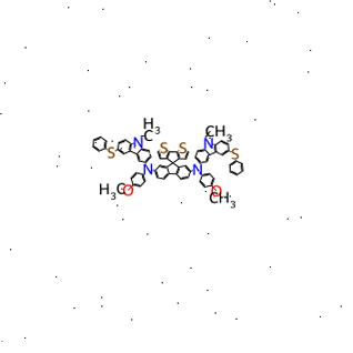 CCn1c2ccc(Sc3ccccc3)cc2c2cc(N(c3ccc(OC)cc3)c3ccc4c(c3)C3(c5cc(N(c6ccc(OC)cc6)c6ccc7c(c6)c6cc(Sc8ccccc8)ccc6n7CC)ccc5-4)c4ccsc4-c4sccc43)ccc21